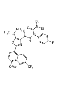 CCN(CC)C(=O)[C@@H](NC(=O)c1nc(-c2ccc(OC)c3nc(C(F)(F)F)ccc23)oc1[C@H](C)N)c1ccc(F)cc1